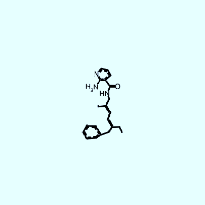 CC/C(=C\C=C(/C)CNC(=O)c1cccnc1N)Cc1ccccc1